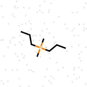 CCC[P+](C)(C)CCC